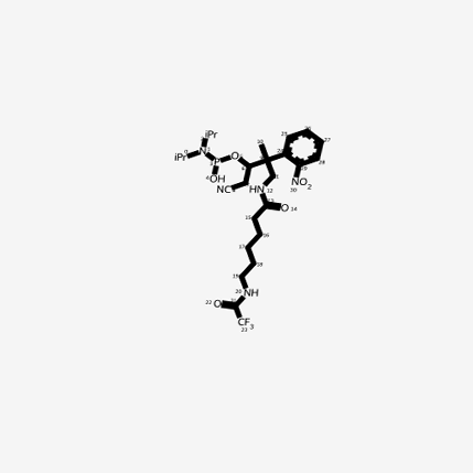 CC(C)N(C(C)C)P(O)OC(CC#N)C(C)(CNC(=O)CCCCCNC(=O)C(F)(F)F)c1ccccc1[N+](=O)[O-]